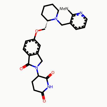 CNc1ncccc1CN1CCCC[C@H]1COc1ccc2c(c1)CN(C1CCC(=O)NC1=O)C2=O